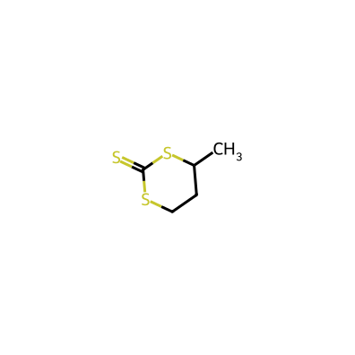 CC1CCSC(=S)S1